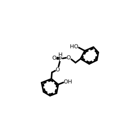 O=[PH](OCc1ccccc1O)OCc1ccccc1O